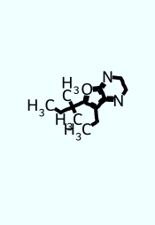 CCc1c(C(C)(C)CC)oc2c1=NCCN=2